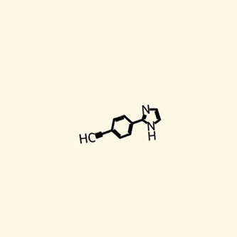 C#Cc1ccc(-c2ncc[nH]2)cc1